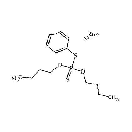 CCCCOP(=S)(OCCCC)Sc1ccccc1.[S-2].[Zn+2]